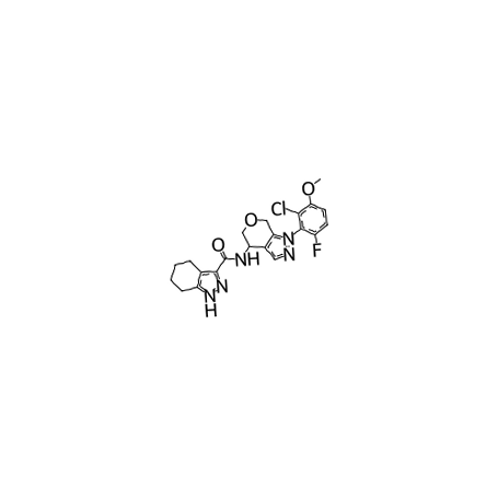 COc1ccc(F)c(-n2ncc3c2COCC3NC(=O)c2n[nH]c3c2CCCC3)c1Cl